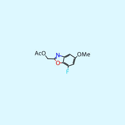 COc1cc(F)c2oc(COC(C)=O)nc2c1